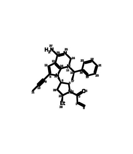 C=CC(=O)N1C[C@H](n2c(C#CC)cc3c2N([C@H](C)c2ccccc2)CN=C3N)C[C@@H]1CC